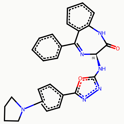 O=C1Nc2ccccc2C(c2ccccc2)=N[C@@H]1Nc1nnc(-c2ccc(N3CCCC3)cc2)o1